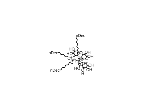 CCCCCCCCCCCCCCCCO[C@H](COCCCCCCCCCCCCCCC)COP(=O)(O)O[C@@H]1C(O[C@H]2OC(CCCCCCCCCCCCCCCC)[C@@H](O)[C@H](O)C2O)C(O)[C@@H](O)[C@H](O)C1O[C@H]1OC(CO)[C@@H](O)C(O)[C@H]1O